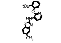 Cc1ccc2sc(Nc3cccnc3Oc3ccccc3C(C)(C)C)nc2c1